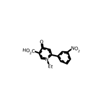 CCn1cc(C(=O)O)c(=O)cc1-c1cccc([N+](=O)[O-])c1